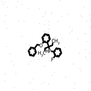 CCC(CC)(Pc1ccccc1F)c1ccccc1OCc1ccccc1